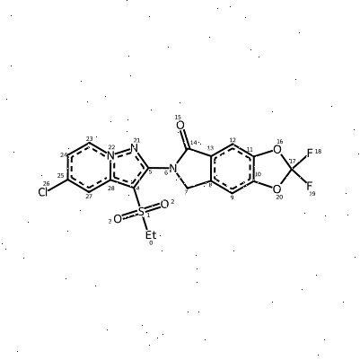 CCS(=O)(=O)c1c(N2Cc3cc4c(cc3C2=O)OC(F)(F)O4)nn2ccc(Cl)cc12